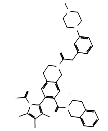 Cc1c(C)c(-c2cc3c(cc2C(=O)N2Cc4ccccc4C[C@H]2C)CN(C(=O)Cc2cccc(N4CCN(C)CC4)c2)CC3)n(C(N)=O)c1C